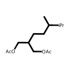 CC(=O)OCC(CCC(C)C(C)C)COC(C)=O